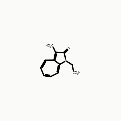 O=C(O)Cn1c2cccccc-2c(C(=O)O)c1=S